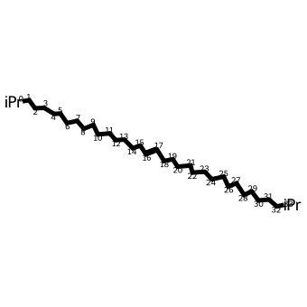 CC(C)CCCCCCCCCCCCCCCC=CCCCCCCCCCCCCCCCC(C)C